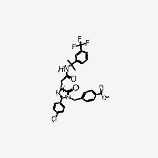 COC(=O)c1ccc(Cn2c(-c3ccc(Cl)cc3)nn(CC(=O)NC(C)(C)c3cccc(C(F)(F)F)c3)c2=O)cc1